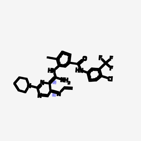 C=C/N=C1/C=NC(N2CCCCC2)=N/C1=C(/N)Nc1cc(C(=O)Nc2ccc(Cl)c(C(F)(F)F)c2)ccc1C